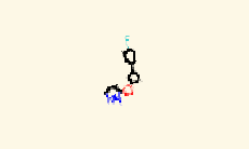 Fc1ccc(C2C[CH]C(Oc3cccnn3)C2)cc1